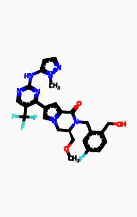 COC[C@H]1Cn2cc(-c3nc(Nc4ccnn4C)ncc3C(F)(F)F)cc2C(=O)N1Cc1cc(F)ccc1CO